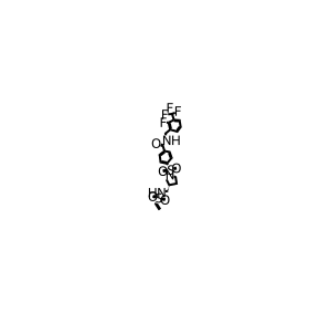 C=CS(=O)(=O)NC[C@H]1CCN(S(=O)(=O)c2ccc(C(=O)NCc3cccc(C(F)(F)F)c3F)cc2)C1